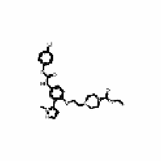 CCOC(=O)N1CCN(CCOc2ccc(NC(=O)Nc3ccc(Cl)cc3)cc2-c2ccnn2C)CC1